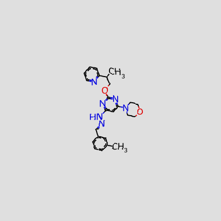 Cc1cccc(C=NNc2cc(N3CCOCC3)nc(OCC(C)c3ccccn3)n2)c1